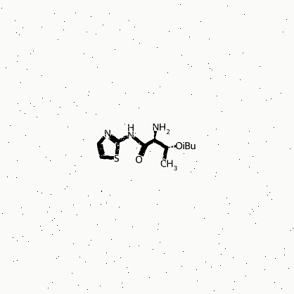 CC(C)CO[C@H](C)[C@H](N)C(=O)Nc1nccs1